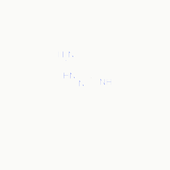 N=c1cc(N)[nH]n1-c1ccccc1